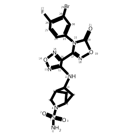 NS(=O)(=O)N1CC2CC1CC2Nc1nonc1-c1noc(=O)n1-c1ccc(F)c(Br)c1